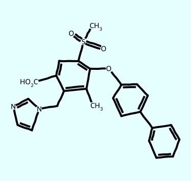 Cc1c(Cn2ccnc2)c(C(=O)O)cc(S(C)(=O)=O)c1Oc1ccc(-c2ccccc2)cc1